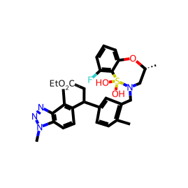 CCOC(=O)CC(c1ccc(C)c(CN2C[C@@H](C)Oc3cccc(F)c3S2(O)O)c1)c1ccc2c(nnn2C)c1C